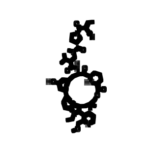 C/C=C(\C#N)C(=O)N1CC[C@@H](C(=O)N(C)CC(C(=O)N[C@H]2Cc3cc(O)cc(c3)-c3ccc4c(c3)c(c(-c3cccnc3COC)n4CC)CC(C)(C)COC(=O)[C@@H]3CCCN(N3)C2=O)C(C)C)C1